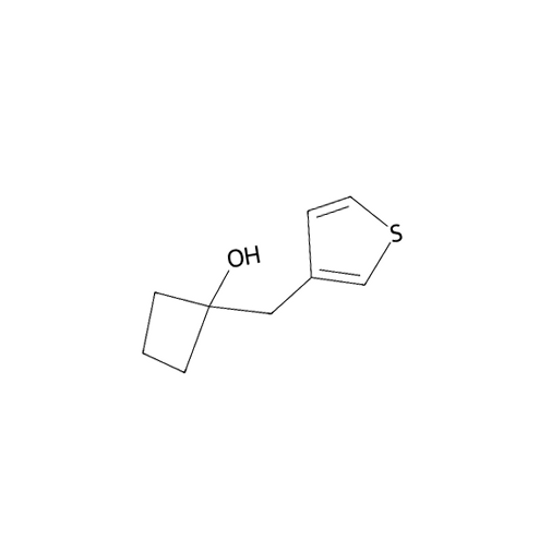 OC1(Cc2ccsc2)CCC1